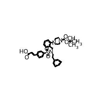 CC(C)(C)OC(=O)N1CCN(c2ccccc2CN(CCc2ccccc2)S(=O)(=O)c2ccc(C=CC(=O)O)cc2)CC1